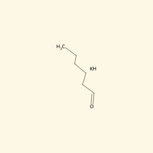 CCCCCC=O.[KH]